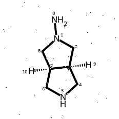 NN1C[C@H]2CNC[C@H]2C1